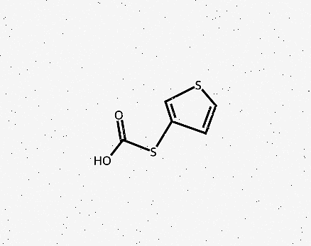 O=C(O)Sc1ccsc1